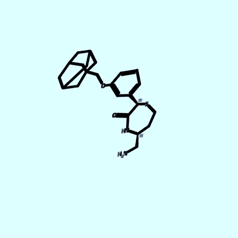 NC[C@@H]1CCS[C@H](c2cccc(OCC34CC5CC(CC(C5)C3)C4)c2)C(=O)N1